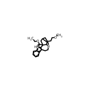 CCOC(=O)C12CC3CC(CCOC)C1N(CCc1c2[nH]c2ccccc12)C3